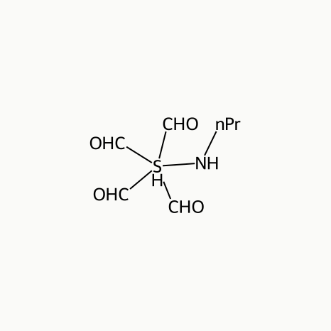 CCCN[SH](C=O)(C=O)(C=O)C=O